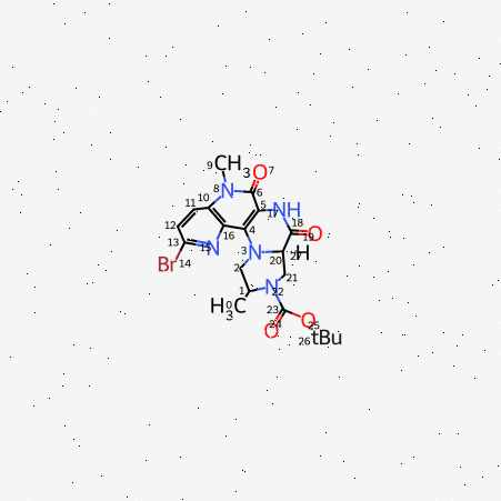 CC1CN2c3c(c(=O)n(C)c4ccc(Br)nc34)NC(=O)[C@H]2CN1C(=O)OC(C)(C)C